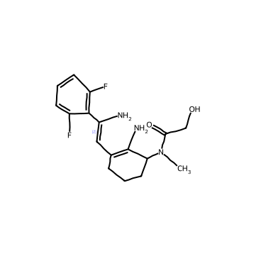 CN(C(=O)CO)C1CCCC(/C=C(\N)c2c(F)cccc2F)=C1N